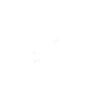 CN1c2ccc(S(=O)(=O)n3cc(Cl)c4ccccc43)cc2C2C3CCC(CC21)N3